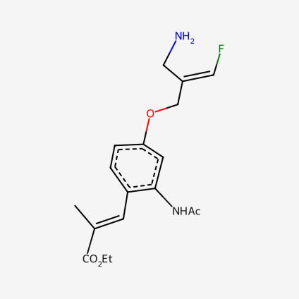 CCOC(=O)/C(C)=C/c1ccc(OC/C(=C/F)CN)cc1NC(C)=O